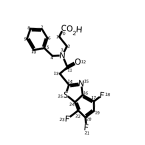 O=C(O)CCN(Cc1ccccc1)C(=O)Cc1nc2c(F)cc(F)c(F)c2s1